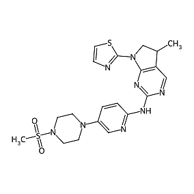 CC1CN(c2nccs2)c2nc(Nc3ccc(N4CCN(S(C)(=O)=O)CC4)cn3)ncc21